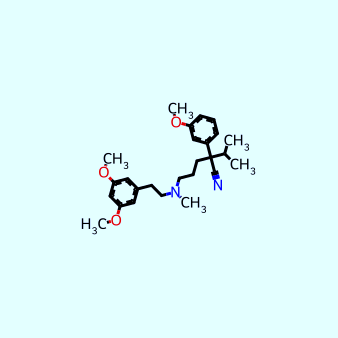 COc1cc(CCN(C)CCCC(C#N)(c2cccc(OC)c2)C(C)C)cc(OC)c1